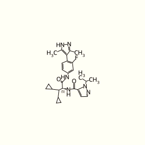 Cc1n[nH]c(C)c1-c1ccc(NC(=O)[C@@H](NC(=O)c2ccnn2C(C)C)C(C2CC2)C2CC2)cc1F